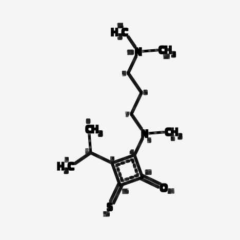 CC(C)c1c(N(C)CCCN(C)C)c(=O)c1=S